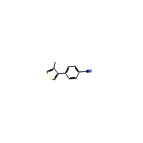 Cc1cscc1-c1ccc(C#N)cc1